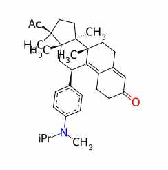 CC(=O)[C@@]1(C)CC[C@]2(C)[C@]1(C)C[C@H](c1ccc(N(C)C(C)C)cc1)C1=C3CCC(=O)C=C3CC[C@]12C